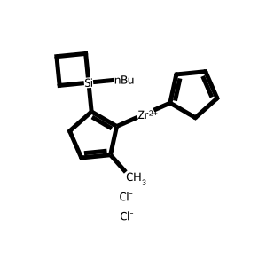 CCCC[Si]1(C2=[C]([Zr+2][C]3=CC=CC3)C(C)=CC2)CCC1.[Cl-].[Cl-]